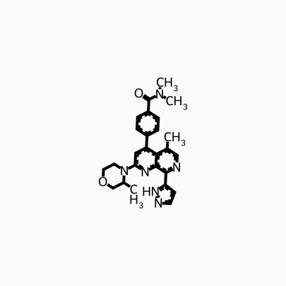 Cc1cnc(-c2ccn[nH]2)c2nc(N3CCOCC3C)cc(-c3ccc(C(=O)N(C)C)cc3)c12